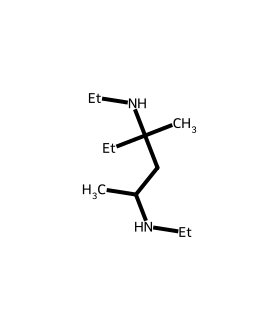 CCNC(C)CC(C)(CC)NCC